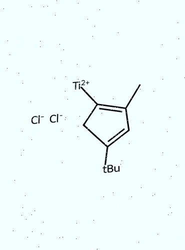 CC1=[C]([Ti+2])CC(C(C)(C)C)=C1.[Cl-].[Cl-]